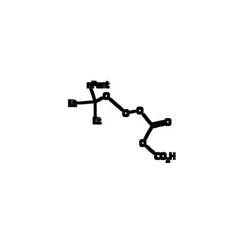 CCCCCC(CC)(CC)OOOC(=O)OC(=O)O